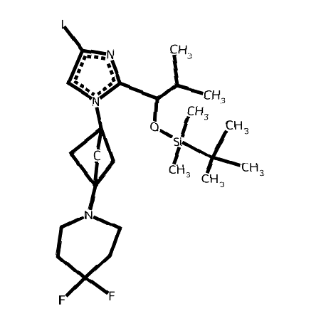 CC(C)C(O[Si](C)(C)C(C)(C)C)c1nc(I)cn1C12CC(N3CCC(F)(F)CC3)(C1)C2